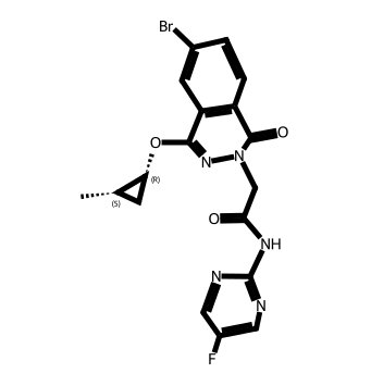 C[C@H]1C[C@H]1Oc1nn(CC(=O)Nc2ncc(F)cn2)c(=O)c2ccc(Br)cc12